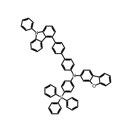 c1ccc(-n2c3ccccc3c3c(-c4ccc(-c5ccc(N(c6ccc([Si](c7ccccc7)(c7ccccc7)c7ccccc7)cc6)c6ccc7c(c6)oc6ccccc67)cc5)cc4)cccc32)cc1